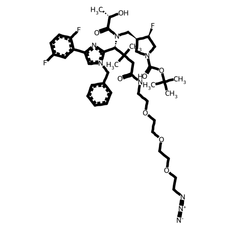 C[C@H](O)C(=O)N(C[C@@H]1CN(C(=O)OC(C)(C)C)C[C@@H]1F)[C@@H](c1nc(-c2cc(F)ccc2F)cn1Cc1ccccc1)C(C)(C)CC(=O)NCCOCCOCCOCCN=[N+]=[N-]